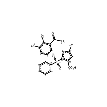 NC(=O)c1cccc(Cl)c1Cl.O=C(O)c1cc(Cl)nn1S(=O)(=O)c1ccccc1